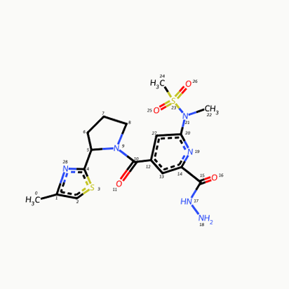 Cc1csc(C2CCCN2C(=O)c2cc(C(=O)NN)nc(N(C)S(C)(=O)=O)c2)n1